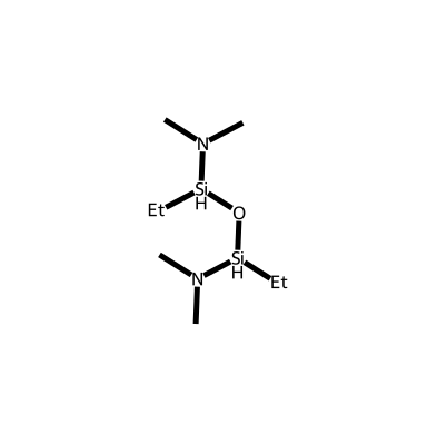 CC[SiH](O[SiH](CC)N(C)C)N(C)C